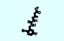 COC(=O)C/C(C)=N/NC(=S)NCc1cc(F)ccc1Br